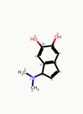 CN(C)C1C=Cc2cc(O)c(O)cc21